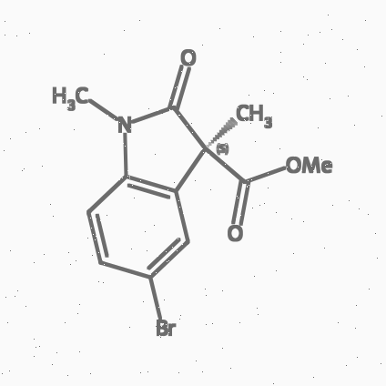 COC(=O)[C@]1(C)C(=O)N(C)c2ccc(Br)cc21